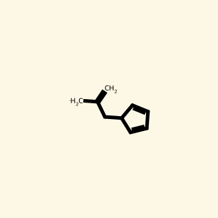 [CH2]C(=C)CC1C=CC=C1